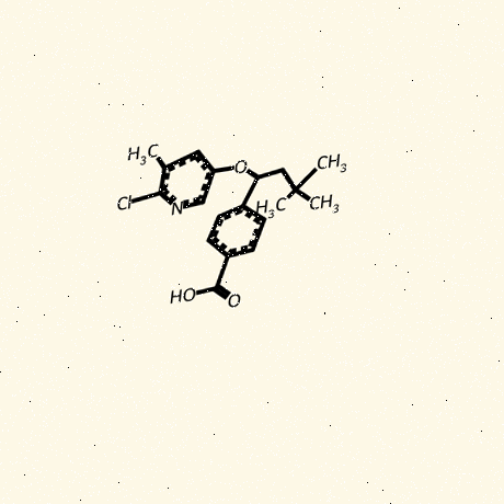 Cc1cc(OC(CC(C)(C)C)c2ccc(C(=O)O)cc2)cnc1Cl